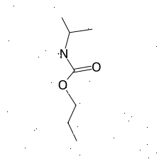 CCCOC(=O)[N]C(C)C